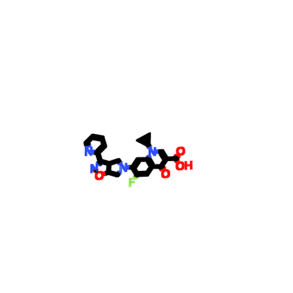 O=C(O)c1cn(C2CC2)c2cc(N3CC4ON=C(c5ccccn5)C4C3)c(F)cc2c1=O